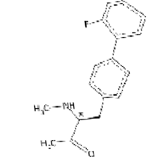 CN[C@@H](Cc1ccc(-c2ccccc2F)cc1)C(C)=O